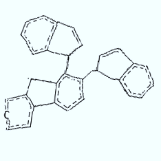 [CH]1c2ccccc2-c2ccc(C3C=Cc4ccccc43)c(C3C=Cc4ccccc43)c21